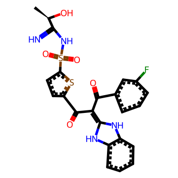 C[C@@H](O)C(=N)NS(=O)(=O)c1ccc(C(=O)C(C(=O)c2cccc(F)c2)=C2Nc3ccccc3N2)s1